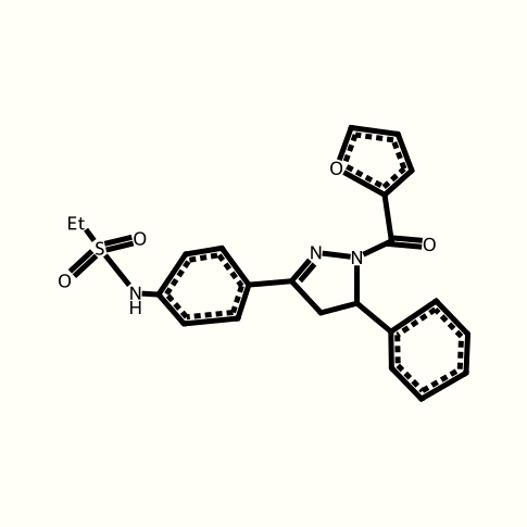 CCS(=O)(=O)Nc1ccc(C2=NN(C(=O)c3ccco3)C(c3ccccc3)C2)cc1